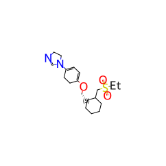 CCS(=O)(=O)CC1CCCC[C@@H]1COC1=CC=C(N2C=NCC2)CC1